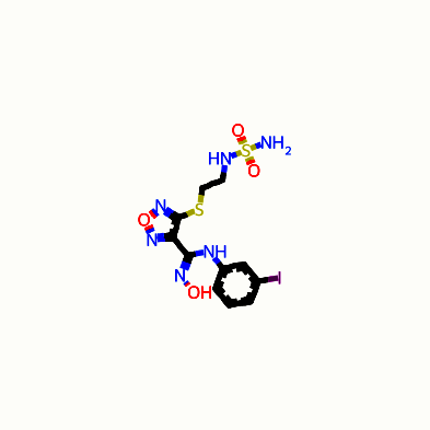 NS(=O)(=O)NCCSc1nonc1/C(=N/O)Nc1cccc(I)c1